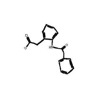 [O]C(=O)Cc1ccccc1NC(=O)c1ccccc1